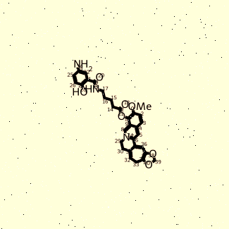 COc1ccc2cc3[n+](cc2c1OC(=O)CCCCNC(=O)c1cc(N)ccc1O)CCC1=CCC2=C(C=C13)OCO2